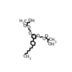 C=C(CO)C(=O)OCCOc1cc(OCCOC(=O)C(=C)CO)cc(C2CCC(CCCCCCC)CC2)c1